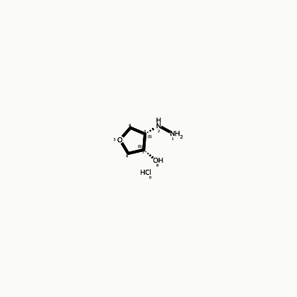 Cl.NN[C@H]1COC[C@H]1O